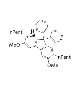 CCCCC[C]1=[GeH][C]2=C(C=C1OC)c1cc(OC)c(CCCCC)cc1C2(c1ccccc1)c1ccccc1